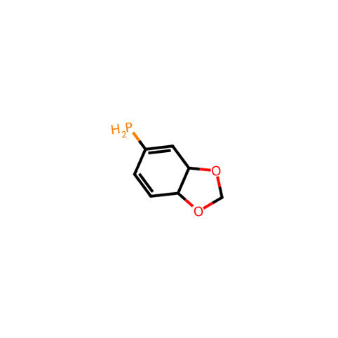 PC1=CC2OCOC2C=C1